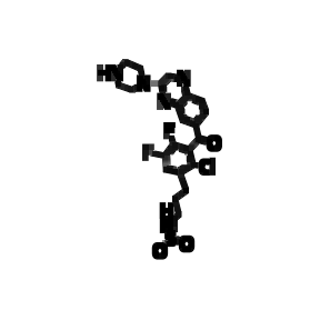 O=C(c1ccc2ncc(N3CCNCC3)nc2c1)c1c(F)c(F)cc(CCCN[SH](=O)=O)c1Cl